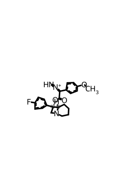 COc1ccc(C(=[N+]=N)C(=O)O[C@@]2(c3ccc(F)cc3)CN3CCCC[C@H]32)cc1